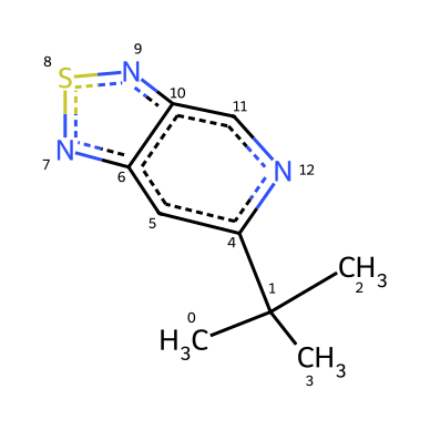 CC(C)(C)c1cc2nsnc2cn1